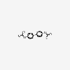 O=C(Cl)Oc1ccc(-c2ccc(OC(=O)Cl)cc2)cc1